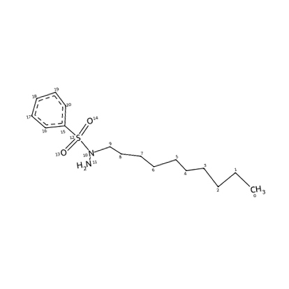 CCCCCCCCCCN(N)S(=O)(=O)c1ccccc1